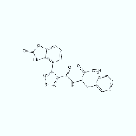 O=C(O)C(=O)C(Cc1ccccc1)NC(=O)c1nsnc1-c1cccc2oc(=O)[nH]c12